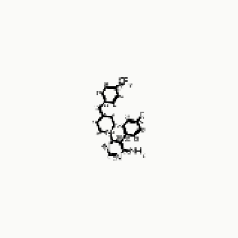 Nc1ncnc(N2CCC(Cc3ccc(C(F)(F)F)cc3)CC2)c1-c1ccc(F)cc1